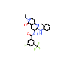 CCn1ccc2nc(Nc3ccccc3C)c(NC(=O)c3cc(F)cc(C(F)(F)F)c3)cc2c1=O